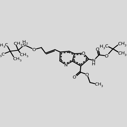 CCOC(=O)c1c(NC(=O)OC(C)(C)C)oc2cc(/C=C/CO[SiH2]C(C)(C)C(C)(C)C)cnc12